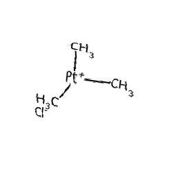 [CH3][Pt+]([CH3])[CH3].[Cl-]